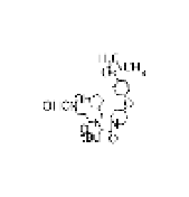 CN(C)C(=O)c1ccc(OC2CCN(C(=O)C(N(CC3CCCC3)C(=O)CCN(O)C=O)C(C)(C)C)CC2)cc1